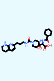 O=C(NC(C(=O)O)C1(O)CCN(C(=O)NCCCc2ccc3c(n2)NCCC3)CC1)C1CCCCC1